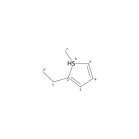 CCC1=CC=C[SH]1C